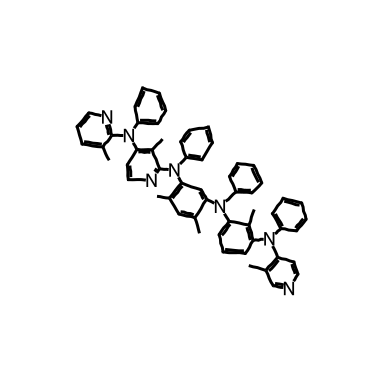 Cc1cnccc1N(c1ccccc1)c1cccc(N(c2ccccc2)c2cc(N(c3ccccc3)c3nccc(N(c4ccccc4)c4ncccc4C)c3C)c(C)cc2C)c1C